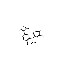 Cc1noc(C)c1-c1ccc2c(=O)cc(C)n(-c3cc(N)c(F)cc3F)c2n1